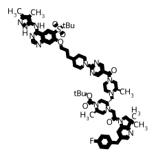 Cc1n[nH]c(Nc2ncnc3cc(OCCCC4CCN(c5ncc(C(=O)N6CCN(C[C@H]7CN(C(=O)OC(C)(C)C)[C@H](C)CN7CC(=O)N7CC(C)(C)c8ncc(Cc9ccc(F)cc9)cc87)[C@H](C)C6)cn5)CC4)c(S(=O)(=O)C(C)(C)C)cc23)c1C